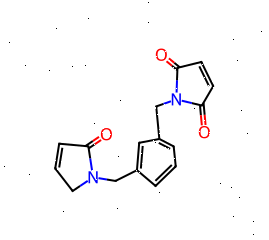 O=C1C=CCN1Cc1cccc(CN2C(=O)C=CC2=O)c1